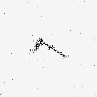 Nc1nc2cc(-c3nn(CCCCNC(=O)CCOCCOCCOCCC(=O)O)c4ncnc(N)c34)ccc2o1